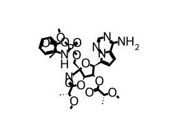 COC(=O)[C@H](C)NP(=O)(OC[C@@]1(C#N)O[C@@H](c2ccc3c(N)ncnn23)[C@H](OC(=O)[C@@H](C)OC)[C@@H]1OC(=O)[C@@H](C)OC)Oc1ccccc1